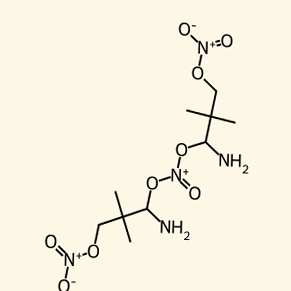 CC(C)(CO[N+](=O)[O-])C(N)O[N+](=O)OC(N)C(C)(C)CO[N+](=O)[O-]